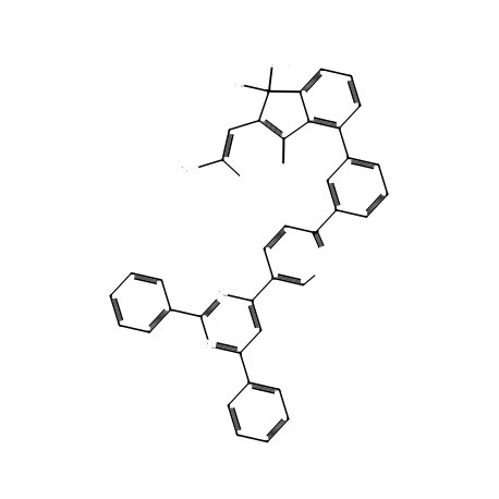 C=C(/C=C\C(=C/C)c1cc(-c2ccccc2)nc(-c2ccccc2)n1)c1cccc(-c2cccc3c2C(C)=C(/C=C(\C)C#N)C3(C)CCCC)c1